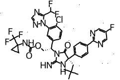 CC(C)(C)C[C@]1(c2ccc(-c3ncc(F)cn3)cc2)NC(=N)N([C@H](COC(=O)NC2(C(F)(F)F)CC2)c2ccc(Cl)c(-n3ncnc3C(F)F)c2)C1=O